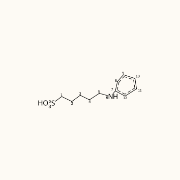 O=S(=O)(O)CCCCCNc1ccccc1